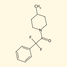 CC1CCN(C(=O)C(F)(F)c2ccccc2)CC1